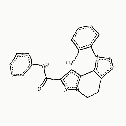 Cc1ccccc1-n1ncc2c1-c1cc(C(=O)Nc3cccnc3)nn1CC2